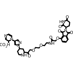 O=C(COc1cccc2c1C(=O)N(C1CCC(=O)NC1=O)C2=O)NCCOCCOCC(=O)C1CC(n2cc(N3C=CN=CC3C(=O)O)cn2)CCN1